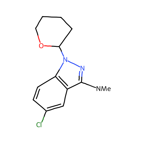 CNc1nn(C2CCCCO2)c2ccc(Cl)cc12